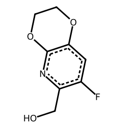 OCc1nc2c(cc1F)OCCO2